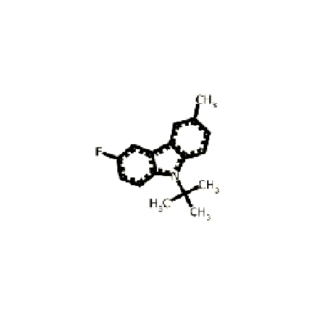 Cc1ccc2c(c1)c1cc(F)ccc1n2C(C)(C)C